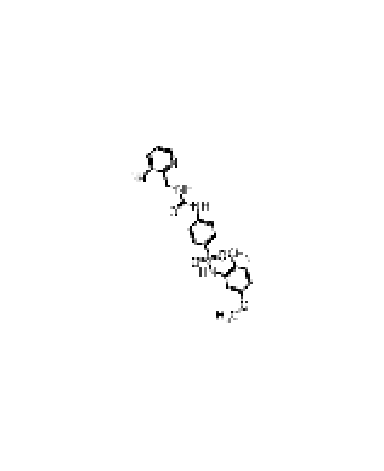 [3H]c1cccnc1CNC(=O)Nc1ccc(S(=O)(=O)Nc2cc(OC)ccc2C)cc1